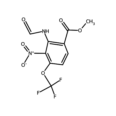 COC(=O)c1ccc(OC(F)(F)F)c([N+](=O)[O-])c1NC=O